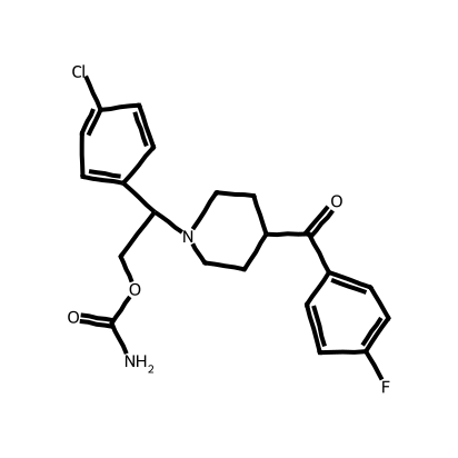 NC(=O)OCC(c1ccc(Cl)cc1)N1CCC(C(=O)c2ccc(F)cc2)CC1